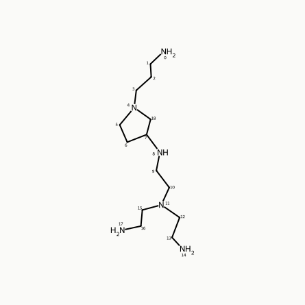 NCCCN1CCC(NCCN(CCN)CCN)C1